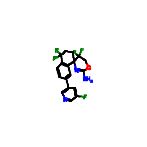 NC1=NC2(CCC(F)(F)c3ccc(-c4cncc(F)c4)cc32)C(F)(F)CO1